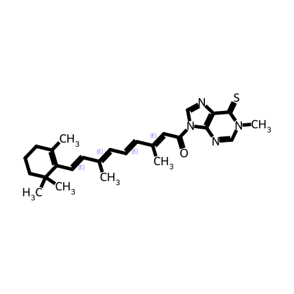 CC1=C(/C=C/C(C)=C/C=C/C(C)=C/C(=O)n2cnc3c(=S)n(C)cnc32)C(C)(C)CCC1